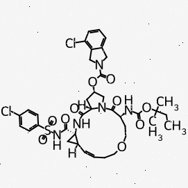 CCC(C)(C)OC(=O)N[C@H]1CCOCC/C=C\[C@@H]2C[C@@]2(C(=O)NS(=O)(=O)c2ccc(Cl)cc2)NC(=O)[C@@H]2C[C@@H](OC(=O)N3Cc4cccc(Cl)c4C3)CN2C1=O